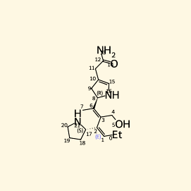 CC/C=C(\C(CO)=C(C)[C@H]1CC(CC(N)=O)=CN1)[C@@H]1CCCN1